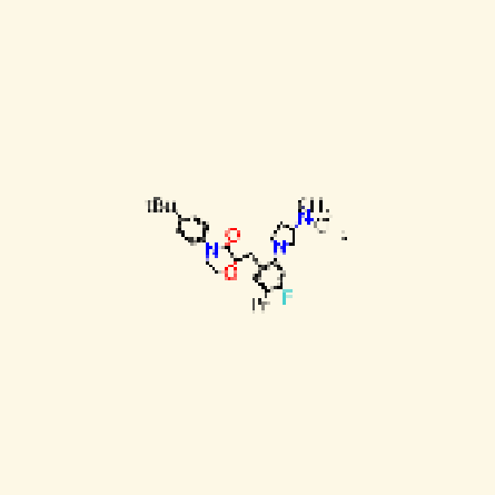 CC(C)c1cc(CC2OCCN(c3ccc(C(C)(C)C)cc3)C2=O)c(N2CCC(N(C)C)C2)cc1F